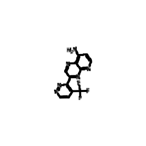 Nc1ccnc2nc(-c3nnccc3C(F)(F)F)cnc12